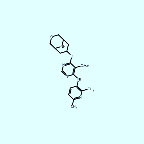 COc1c(Nc2ccc(C)nc2C)ncnc1OC1CC2COCC(C1)N2